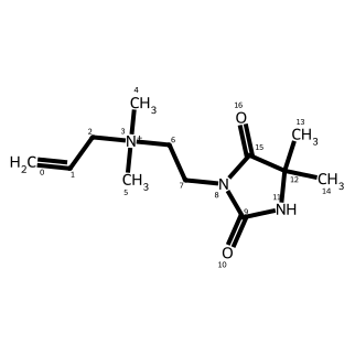 C=CC[N+](C)(C)CCN1C(=O)NC(C)(C)C1=O